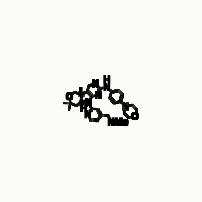 CNCc1ccnc(N2c3nc(Nc4ccc(N5CCOCC5)cc4)ncc3[C@@]3(C)COC(C)(C)C[C@@H]23)c1